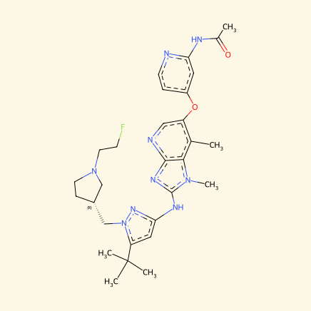 CC(=O)Nc1cc(Oc2cnc3nc(Nc4cc(C(C)(C)C)n(C[C@@H]5CCN(CCF)C5)n4)n(C)c3c2C)ccn1